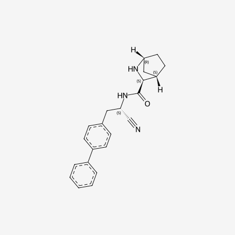 N#C[C@H](Cc1ccc(-c2ccccc2)cc1)NC(=O)[C@H]1N[C@@H]2CC[C@H]1C2